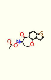 CC(=O)O/N=C1\CCOc2c(ccc3sccc23)C1=O